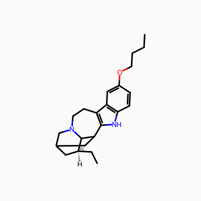 CCCCOc1ccc2[nH]c3c(c2c1)CCN1CC2CC3C1[C@@H](CC)C2